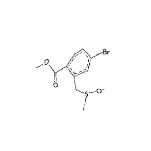 COC(=O)c1ccc(Br)cc1C[S+](C)[O-]